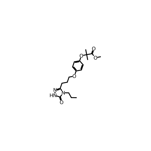 CCCn1c(CCCOc2ccc(OC(C)(C)C(=O)OC)cc2)n[nH]c1=O